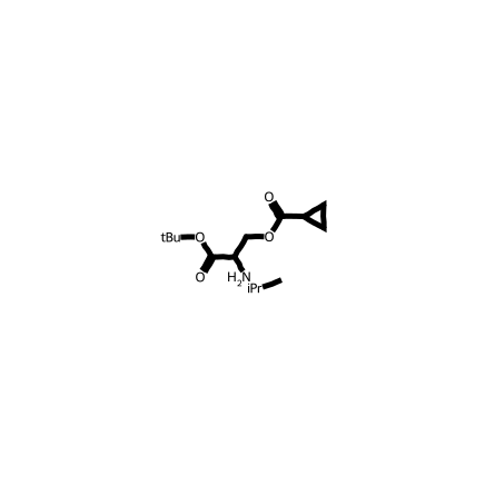 CC(C)(C)OC(=O)C(N)COC(=O)C1CC1.CC(C)C